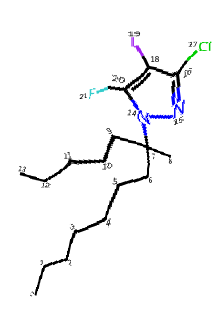 CCCCCCCC(C)(CCCCC)n1nc(Cl)c(I)c1F